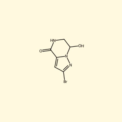 O=C1NCC(O)n2nc(Br)cc21